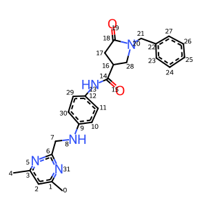 Cc1cc(C)nc(CNc2ccc(NC(=O)C3CC(=O)N(Cc4ccccc4)C3)cc2)n1